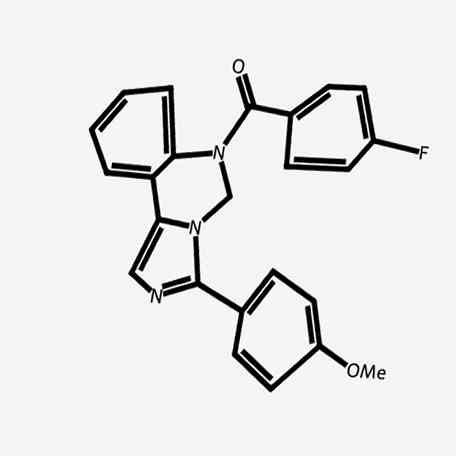 COc1ccc(-c2ncc3n2CN(C(=O)c2ccc(F)cc2)c2ccccc2-3)cc1